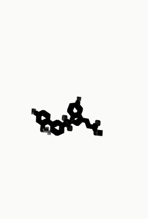 Cc1cc(F)ccc1-c1cccc(S(=O)(=O)n2cc(CCC(=O)O)c3cc(F)ccc32)c1